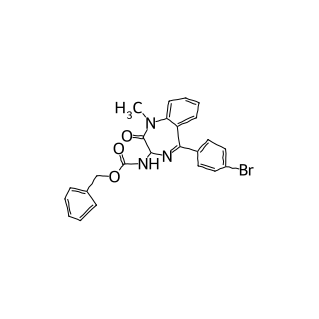 CN1C(=O)C(NC(=O)OCc2ccccc2)N=C(c2ccc(Br)cc2)c2ccccc21